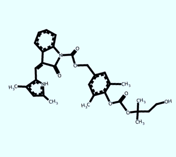 Cc1cc(C)c(/C=C2\C(=O)N(C(=O)OCc3cc(C)c(OC(=O)OC(C)(C)CCO)c(C)c3)c3ccccc32)[nH]1